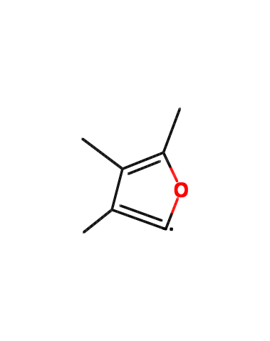 Cc1[c]oc(C)c1C